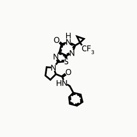 O=C(NCc1ccccc1)C1CCCN1c1nc2c(=O)[nH]c(C3(C(F)(F)F)CC3)nc2s1